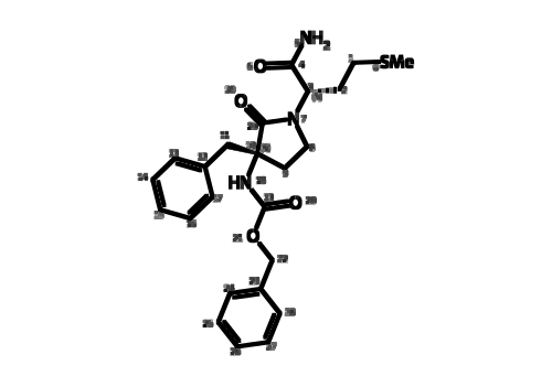 CSCC[C@@H](C(N)=O)N1CC[C@](Cc2ccccc2)(NC(=O)OCc2ccccc2)C1=O